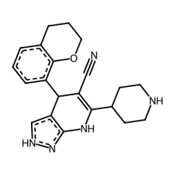 N#CC1=C(C2CCNCC2)Nc2n[nH]cc2C1c1cccc2c1OCCC2